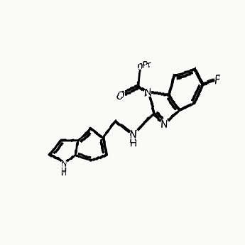 CCCC(=O)n1c(NCc2ccc3[nH]ccc3c2)nc2cc(F)ccc21